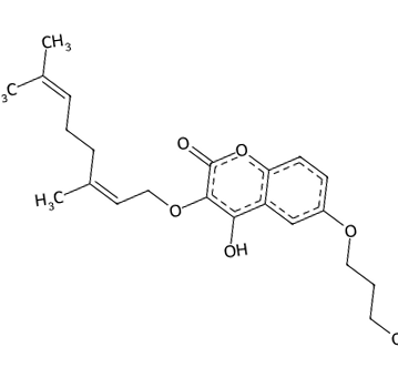 CC(C)=CCCC(C)=CCOc1c(O)c2cc(OCCCO)ccc2oc1=O